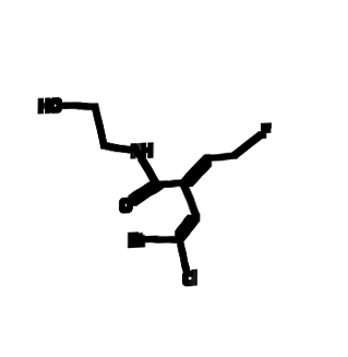 CC/C(Cl)=C\C(=C/CF)C(=O)NCCO